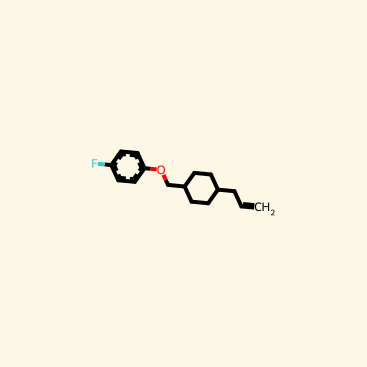 C=CCC1CCC(COc2ccc(F)cc2)CC1